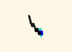 CCCCCCCCC1CCC(CCc2ccc(-c3ccc(F)nc3F)cc2)CC1